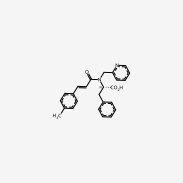 Cc1ccc(C=CC(=O)N(Cc2ccccn2)[C@@H](Cc2ccccc2)C(=O)O)cc1